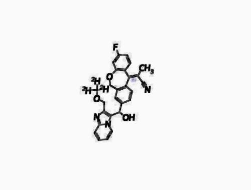 [2H]C([2H])([2H])OCc1nc2ccccn2c1C(O)c1ccc2c(c1)COc1cc(F)ccc1/C2=C(\C)C#N